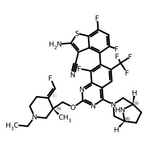 CCN1CC/C(=C\F)[C@](C)(COc2nc(N3C[C@H]4CC[C@@H](C3)N4)c3cc(C(F)(F)F)c(-c4c(F)cc(F)c5sc(N)c(C#N)c45)c(F)c3n2)C1